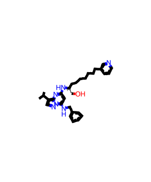 CC(C)c1cnn2c(NCc3ccccc3)cc(N[C@@H](CO)CCCCCCCc3cccnc3)nc12